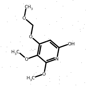 COCOc1cc(O)nc(OC)c1OC